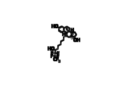 C=CC12CCc3cc(O)ccc3[C@H]1[C@@H](CCCCCCC(O)C(F)(F)C(F)(F)C(F)(F)F)C[C@]1(C)[C@@H](O)CC[C@@H]21